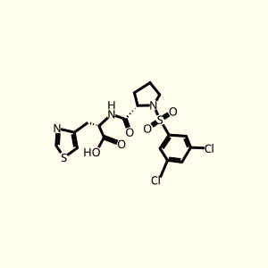 O=C(O)[C@H](Cc1cscn1)NC(=O)[C@@H]1CCCN1S(=O)(=O)c1cc(Cl)cc(Cl)c1